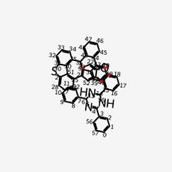 c1ccc(C2=NC(c3ccccc3)NC(c3cccc4oc5ccc(-c6cccc7sc8cccc(C9Cc%10ccccc%10-c%10ccccc%109)c8c67)cc5c34)N2)cc1